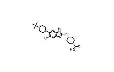 CC(C)(C)C1CC=C(c2nc3[nH]c(O[C@H]4CC[C@H](C(=O)O)CC4)nc3cc2Cl)CC1